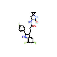 O=C(CCc1c(-c2ccc(F)cc2)[nH]c2c(F)cc(F)cc12)NC1CC2(CC2)NC1=O